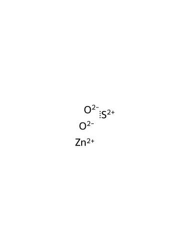 [O-2].[O-2].[S+2].[Zn+2]